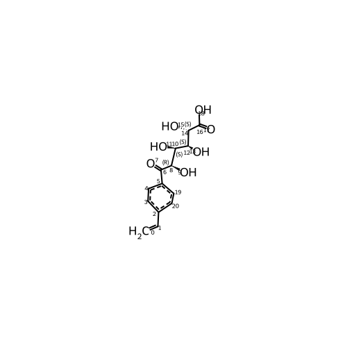 C=Cc1ccc(C(=O)[C@H](O)[C@@H](O)[C@H](O)[C@H](O)C(=O)O)cc1